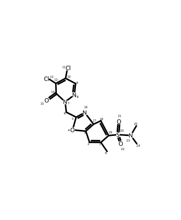 Cc1cc2oc(Cn3ncc(Cl)c(Cl)c3=O)nc2cc1S(=O)(=O)N(C)C